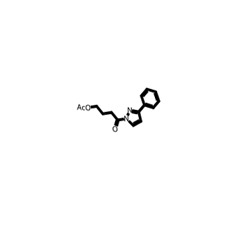 CC(=O)OCCCC(=O)n1ccc(-c2ccccc2)n1